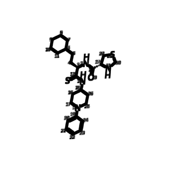 O=C(N[C@H](CCC1CCCCC1)C(=S)NC1CCN(c2ccccc2)CC1)[C@@H]1CSCN1